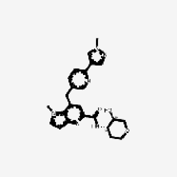 Cn1cc(-c2ccc(Cc3cc(C(=O)N[C@H]4CCOC[C@@H]4O)nc4ccn(C)c34)cn2)cn1